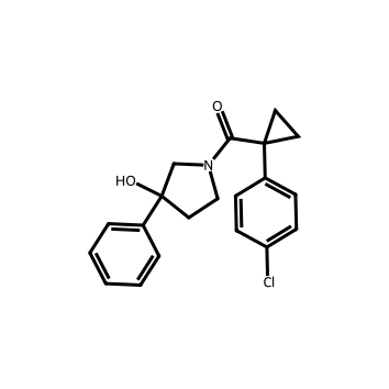 O=C(N1CCC(O)(c2ccccc2)C1)C1(c2ccc(Cl)cc2)CC1